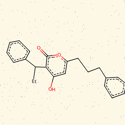 CCC(c1ccccc1)c1c(O)cc(CCCc2ccccc2)oc1=O